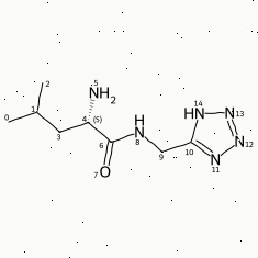 CC(C)C[C@H](N)C(=O)NCc1nnn[nH]1